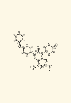 CSc1nc(N)c2cc(-c3ccc(Oc4ccccc4)cc3)c(=O)n(C3CCC(=O)CC3)c2n1